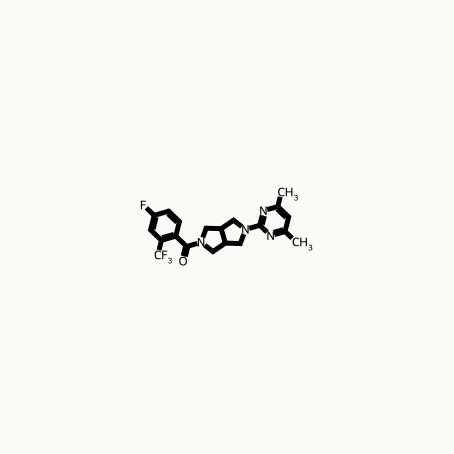 Cc1cc(C)nc(N2CC3CN(C(=O)c4ccc(F)cc4C(F)(F)F)CC3C2)n1